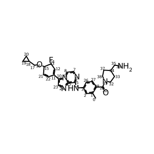 Cc1cc(Nc2nccn3c(C4=CC(F)C(OCC5CC5)C=C4)cnc23)ccc1C(=O)N1CCC(CN)CC1